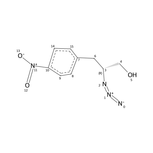 [N-]=[N+]=N[C@@H](CO)Cc1ccc([N+](=O)[O-])cc1